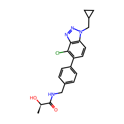 C[C@@H](O)C(=O)NCc1ccc(-c2ccc3c(nnn3CC3CC3)c2Cl)cc1